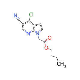 CCCCOC(=O)Cn1ccc2c(Cl)c(C#N)cnc21